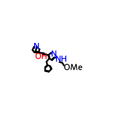 COCCCNc1cc(Cc2ccccc2)c(C#CC2(O)CN3CCC2CC3)cn1